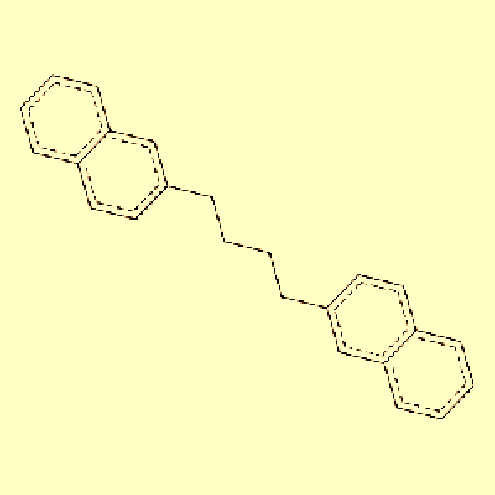 c1ccc2cc(CCCCc3ccc4ccccc4c3)ccc2c1